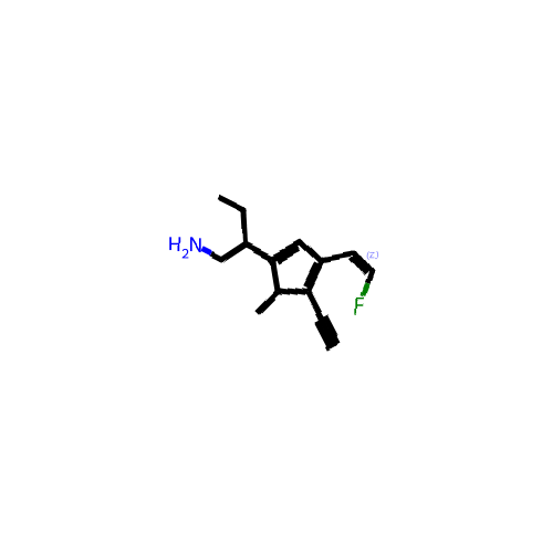 C#CC1=C(/C=C\F)C=C(C(CC)CN)C1C